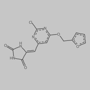 O=C1NC(=O)C(=Cc2cc(OCc3ccco3)nc(Cl)n2)N1